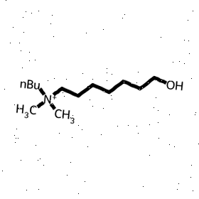 CCCC[N+](C)(C)CCCCCCCO